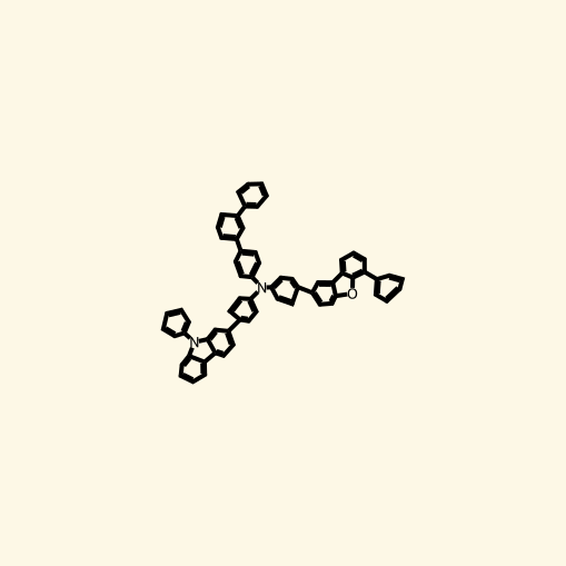 c1ccc(-c2cccc(-c3ccc(N(c4ccc(-c5ccc6oc7c(-c8ccccc8)cccc7c6c5)cc4)c4ccc(-c5ccc6c7ccccc7n(-c7ccccc7)c6c5)cc4)cc3)c2)cc1